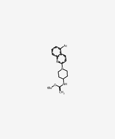 C=C(NC1CCN(c2ccc3c(C(C)=O)cccc3n2)CC1)OC(C)(C)C